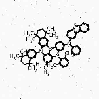 Cc1cc2c3c(c1)N(c1c(C)cccc1C)c1cc(N(c4ccccc4)c4ccc5sc6ccccc6c5c4)ccc1B3c1cc3c(cc1N2c1ccc2c(c1)C(C)(C)CCC2(C)C)C(C)(C)CCC3(C)C